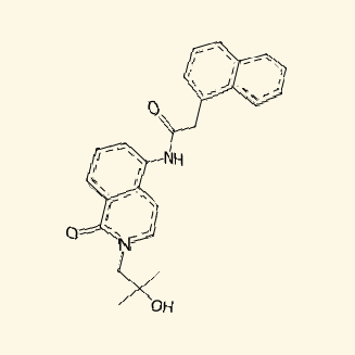 CC(C)(O)Cn1ccc2c(NC(=O)Cc3cccc4ccccc34)cccc2c1=O